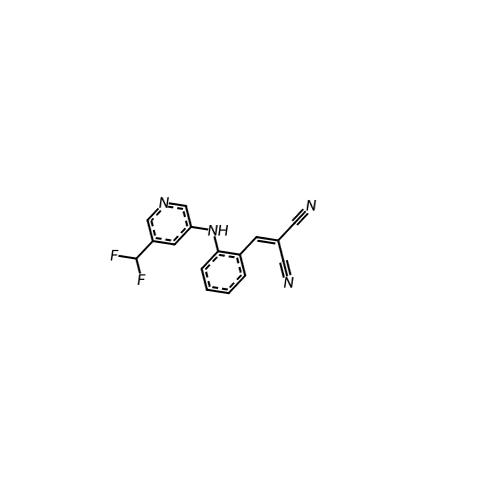 N#CC(C#N)=Cc1ccccc1Nc1cncc(C(F)F)c1